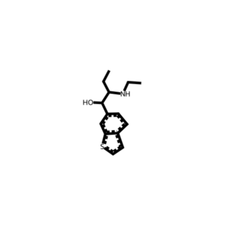 CCNC(CC)C(O)c1ccc2ccsc2c1